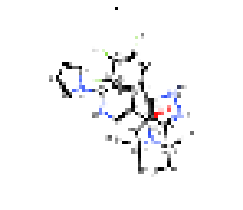 Cn1nc2c(c1-c1cc(F)c(F)c(F)c1)C[C@H]1CCC[C@@H]2N1C(=O)c1ccc(-n2cccc2)nc1